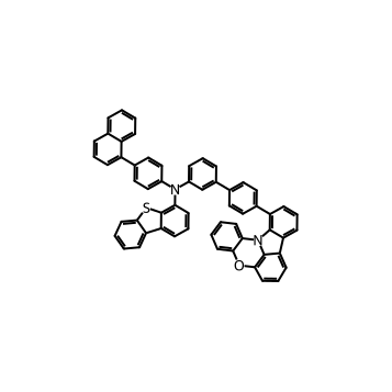 c1cc(-c2ccc(-c3cccc4c5cccc6c5n(c34)-c3ccccc3O6)cc2)cc(N(c2ccc(-c3cccc4ccccc34)cc2)c2cccc3c2sc2ccccc23)c1